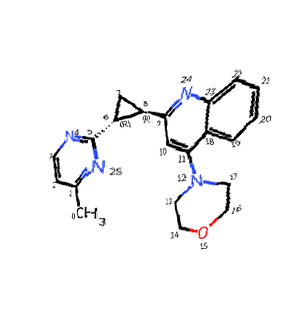 Cc1ccnc([C@@H]2C[C@H]2c2cc(N3CCOCC3)c3ccccc3n2)n1